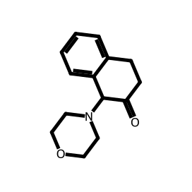 O=C1CCc2ccccc2C1N1CCOCC1